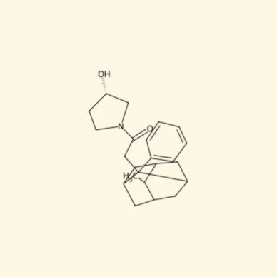 CC1C2CC3CC1CC(C2)C3(CC(=O)N1CC[C@H](O)C1)c1ccccc1